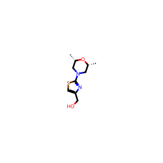 C[C@@H]1CN(c2nc(CO)cs2)C[C@H](C)O1